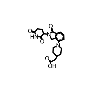 O=C(O)CC1CCN(c2cccc3c2CN(C2CCC(=O)NC2=O)C3=O)CC1